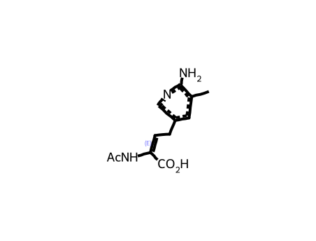 CC(=O)N/C(=C/Cc1cnc(N)c(C)c1)C(=O)O